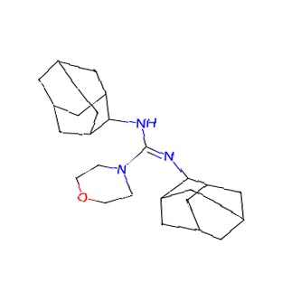 C1CN(/C(=N\C2C3CC4CC(C3)CC2C4)NC2C3CC4CC(C3)CC2C4)CCO1